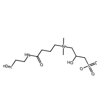 CCCCCCCCCCCCNC(=O)CCC[N+](C)(C)CC(O)CS(=O)(=O)[O-]